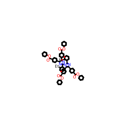 CCc1ccccc1-c1nc(-c2ccc(C(=O)Oc3ccccc3)cc2)c(-c2ccc(C(=O)Oc3ccccc3)cc2)n1C1(c2ccccc2CC)N=C(c2ccc(C(=O)Oc3ccccc3)cc2)C(c2ccc(C(=O)Oc3ccccc3)cc2)=N1